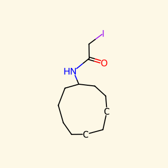 O=C(CI)NC1CCCCCCCCC1